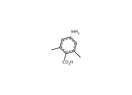 Cc1cccc(C)c1C(=O)O.[InH3]